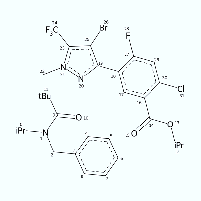 CC(C)N(Cc1ccccc1)C(=O)C(C)(C)C.CC(C)OC(=O)c1cc(-c2nn(C)c(C(F)(F)F)c2Br)c(F)cc1Cl